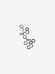 C1=CCCC(CCC(NC2C=CC(NC3C=CC=CC3c3cc4ccccc4c4c3C3C=CC=CC3C=C4)=CC2)C2CC=Cc3ccccc32)=C1